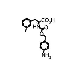 Cc1cccc(C[C@H](NC(=O)OCc2ccc(N)cc2)C(=O)O)c1